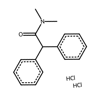 CN(C)C(=O)C(c1ccccc1)c1ccccc1.Cl.Cl